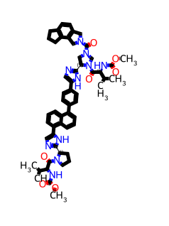 COC(=O)NC(C(=O)N1CCC[C@H]1c1ncc(-c2cccc3c(-c4ccc(-c5cnc([C@@H]6CN(C(=O)N7Cc8ccc9c(c8C7)CCC9)CN6C(=O)[C@@H](NC(=O)OC)C(C)C)[nH]5)cc4)cccc23)[nH]1)C(C)C